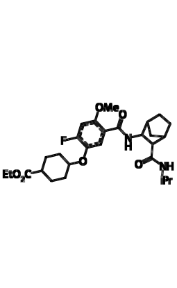 CCOC(=O)C1CCC(Oc2cc(C(=O)NC3C4CCC(C4)C3C(=O)NC(C)C)c(OC)cc2F)CC1